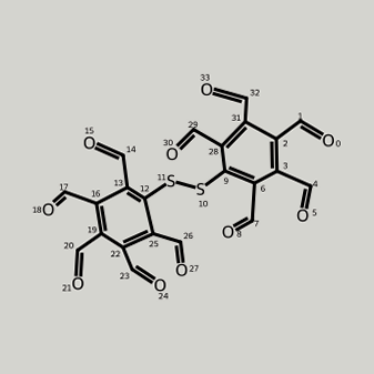 O=Cc1c(C=O)c(C=O)c(SSc2c(C=O)c(C=O)c(C=O)c(C=O)c2C=O)c(C=O)c1C=O